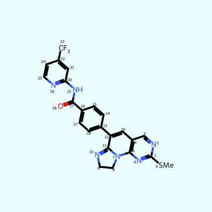 CSc1ncc2c(n1)N1CCN=C1C(c1ccc(C(=O)Nc3cc(C(F)(F)F)ccn3)cc1)=C2